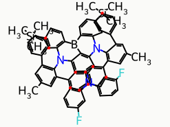 Cc1cc(-c2ccccc2)c(N2c3cc([Si](C)(C)C)ccc3B3c4ccc([Si](C)(C)C)cc4N(c4c(-c5ccccc5)cc(C)cc4-c4ccccc4)c4cc(N(c5cccc(F)c5)c5cccc(F)c5)cc2c43)c(-c2ccccc2)c1